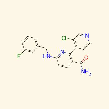 NC(=O)c1ccc(NCc2cccc(F)c2)nc1-c1c[c]ncc1Cl